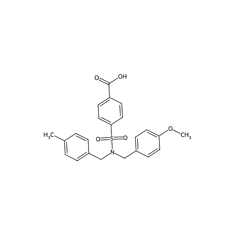 COc1ccc(CN(Cc2ccc(C)cc2)S(=O)(=O)c2ccc(C(=O)O)cc2)cc1